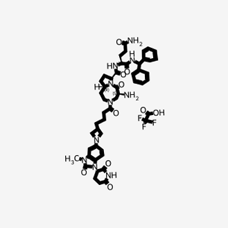 Cn1c(=O)n(C2CCC(=O)NC2=O)c2ccc(N3CC(CCCC(=O)N4CC[C@H]5CC[C@@H](C(=O)N[C@@H](CCC(N)=O)C(=O)NC(c6ccccc6)c6ccccc6)N5C(=O)[C@@H](N)C4)C3)cc21.O=C(O)C(F)(F)F